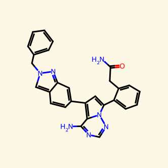 NC(=O)Cc1ccccc1-c1cc(-c2ccc3cn(Cc4ccccc4)nc3c2)c2c(N)ncnn12